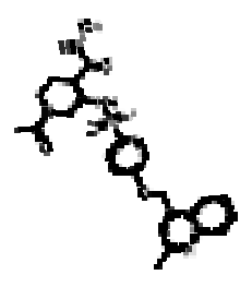 CC(=O)N1CCC(C(=O)NO)C(NS(=O)(=O)c2ccc(OCc3cc(C)nc4ccccc34)cc2)C1